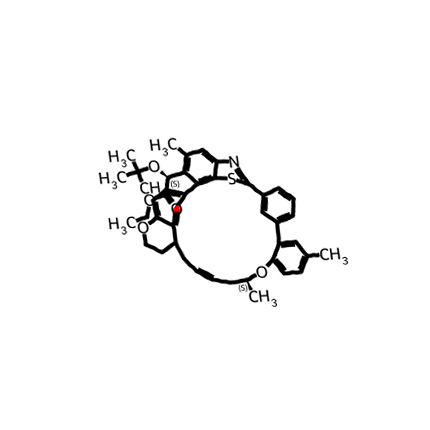 CCOC(=O)[C@@H](OC(C)(C)C)c1c(C)cc2nc3sc2c1-c1ccc2c(c1)C(CC=CC[C@H](C)Oc1ccc(C)cc1-c1cccc-3c1)CCO2